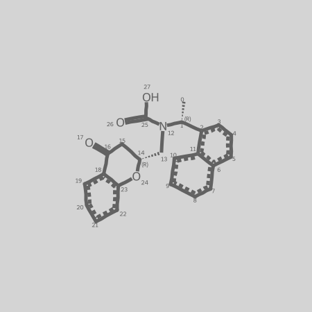 C[C@H](c1cccc2ccccc12)N(C[C@H]1CC(=O)c2ccccc2O1)C(=O)O